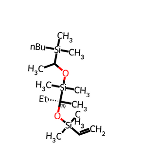 C=C[Si](C)(C)O[C@@](C)(CC)[Si](C)(C)OC(C)[Si](C)(C)CCCC